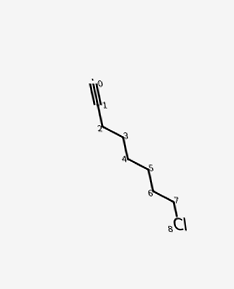 [C]#CCCCCCCCl